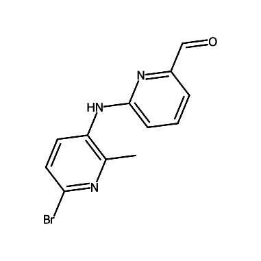 Cc1nc(Br)ccc1Nc1cccc(C=O)n1